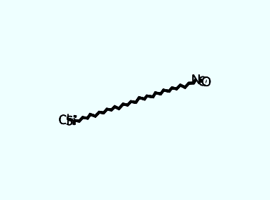 C[Si](C)(Cl)CCCCCCCCCCCCCCCCCCCCCCCCCCCCCN=C=O